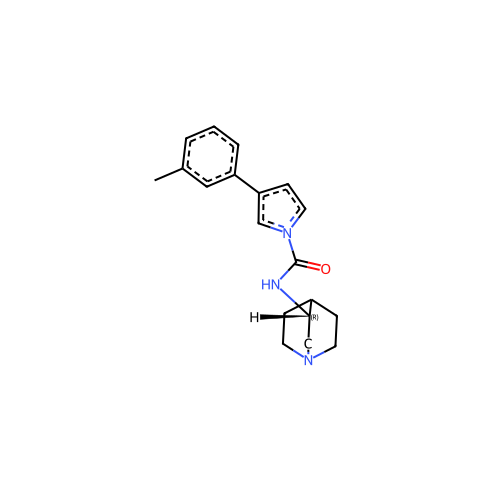 Cc1cccc(-c2ccn(C(=O)N[C@H]3CN4CCC3CC4)c2)c1